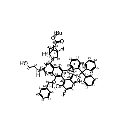 Cc1c(F)cc2nn(C(c3ccccc3)(c3ccccc3)c3ccccc3)cc2c1-c1c(C2CC2)cc2c(N3C[C@@H]4C[C@H]3CN4C(=O)OC(C)(C)C)nc(NCCO)nc2c1OCc1ccccc1